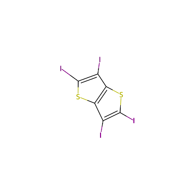 Ic1sc2c(I)c(I)sc2c1I